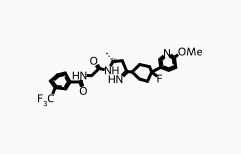 COc1ccc(C2(F)CCC(C(=N)C[C@@H](C)NC(=O)CNC(=O)c3cccc(C(F)(F)F)c3)CC2)cn1